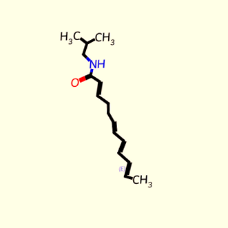 C/C=C/C=CC=CCCC=CC(=O)NCC(C)C